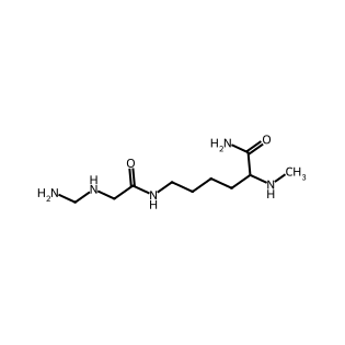 CNC(CCCCNC(=O)CNCN)C(N)=O